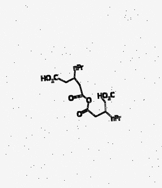 CCCC(CC(=O)O)CC(=O)OC(=O)CC(CCC)CC(=O)O